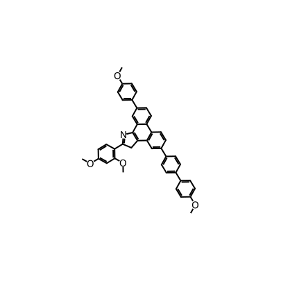 COc1ccc(-c2ccc(-c3ccc4c(c3)c3c(c5cc(-c6ccc(OC)cc6)ccc54)N=C(c4ccc(OC)cc4OC)C3)cc2)cc1